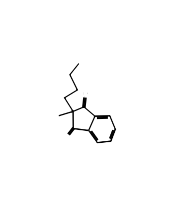 CCCCC1(C)C(=O)c2ccccc2C1=O